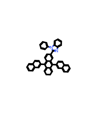 C1=c2c(-c3ccc4ccccc4c3)c3ccc(-c4nc5ccccc5n4-c4ccccc4)cc3c(-c3ccc4ccccc4c3)c2=CCC1